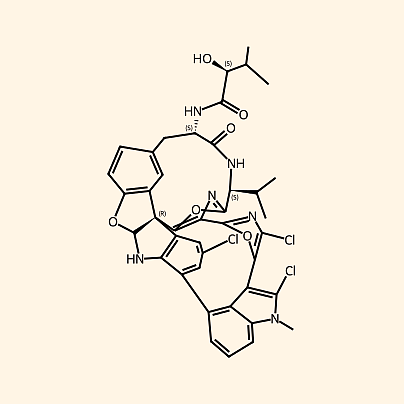 CC(C)[C@H](O)C(=O)N[C@H]1Cc2ccc3c(c2)[C@]24c5cc(Cl)cc(c5NC2O3)-c2cccc3c2c(c(Cl)n3C)-c2oc(nc2Cl)-c2nc(oc24)[C@H](C(C)C)NC1=O